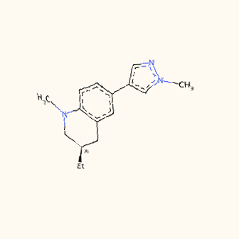 CC[C@@H]1Cc2cc(-c3cnn(C)c3)ccc2N(C)C1